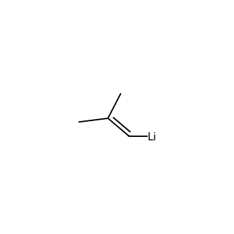 [Li][CH]=C(C)C